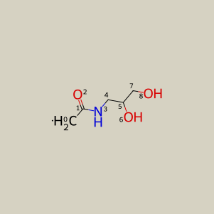 [CH2]C(=O)NCC(O)CO